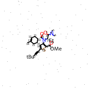 CC[C@@H](C(=O)N(C)C)N(C(=O)[C@H]1CC=C(C)CC1)c1cc(C#CC(C)(C)C)sc1C(=O)OC